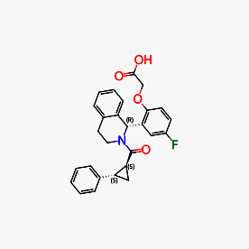 O=C(O)COc1ccc(F)cc1[C@H]1c2ccccc2CCN1C(=O)[C@H]1C[C@@H]1c1ccccc1